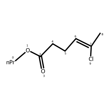 CCCOC(=O)CCC=C(C)Cl